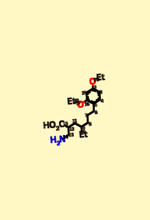 CCOc1ccc(CCCC(CC)CC(CN)C(=O)O)c(OCC)c1